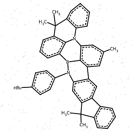 CCCCc1ccc(N2B3c4cccc5c4N(c4ccccc4C5(C)C)c4cc(C)cc(c43)-c3cc4c(cc32)C(C)(C)c2ccccc2-4)cc1